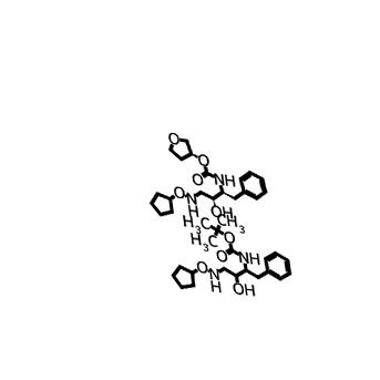 CC(C)(C)OC(=O)NC(Cc1ccccc1)C(O)CNOC1CCCC1.O=C(N[C@@H](Cc1ccccc1)[C@H](O)CNOC1CCCC1)O[C@H]1CCOC1